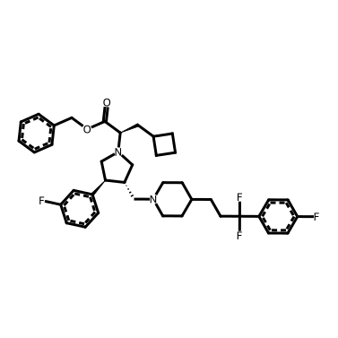 O=C(OCc1ccccc1)[C@@H](CC1CCC1)N1C[C@H](CN2CCC(CCC(F)(F)c3ccc(F)cc3)CC2)[C@@H](c2cccc(F)c2)C1